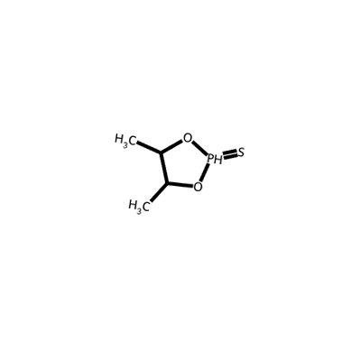 CC1O[PH](=S)OC1C